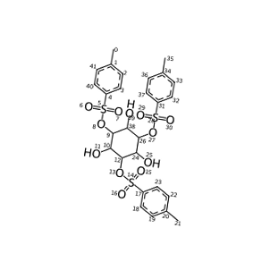 Cc1ccc(S(=O)(=O)OC2C(O)C(OS(=O)(=O)c3ccc(C)cc3)C(O)C(OS(=O)(=O)c3ccc(C)cc3)C2O)cc1